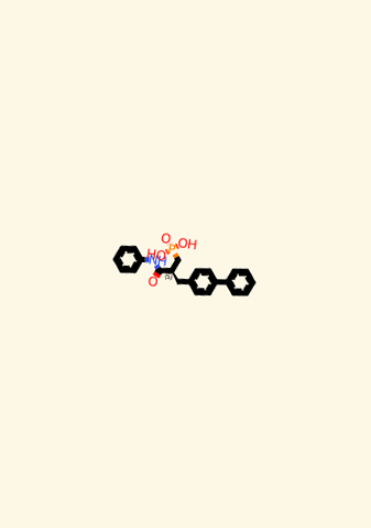 O=C(Nc1ccccc1)[C@H](Cc1ccc(-c2ccccc2)cc1)CP(=O)(O)O